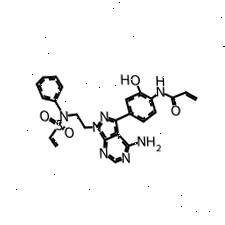 C=CC(=O)Nc1ccc(-c2nn(CCN(c3ccccc3)S(=O)(=O)C=C)c3ncnc(N)c23)cc1O